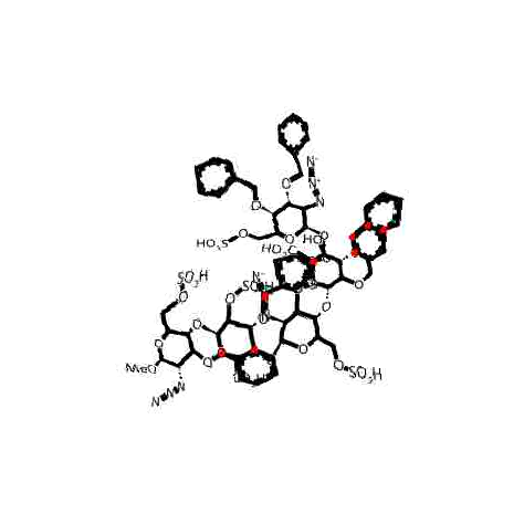 CO[C@H]1OC(COS(=O)(=O)O)[C@@H](O[C@@H]2OC(C(=O)O)[C@H](O[C@@H]3OC(COS(=O)(=O)O)[C@@H](O[C@@H]4OC(C(=O)O)[C@@H](O[C@H]5OC(COS(=O)(=O)O)[C@@H](OCc6ccccc6)[C@H](OCc6ccccc6)C5N=[N+]=[N-])[C@H](OCc5ccccc5)C4OCc4ccccc4)C(OSOOO)[C@@H]3N=[N+]=[N-])[C@@H](OCc3ccccc3)C2OS(=O)(=O)O)C(OCc2ccccc2)[C@@H]1N=[N+]=[N-]